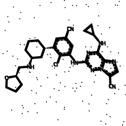 N#Cc1cc(Nc2nc(NC3CC3)c3ncc(C#N)n3n2)c(Cl)c([C@H]2CCC[C@H](NC[C@H]3CCCO3)C2)c1